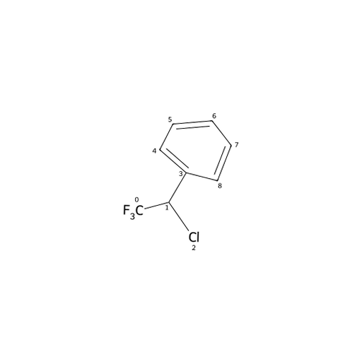 FC(F)(F)C(Cl)c1ccccc1